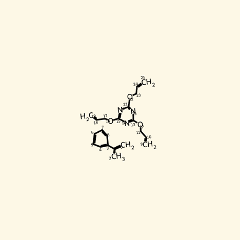 C=C(C)c1ccccc1.C=CCOc1nc(OCC=C)nc(OCC=C)n1